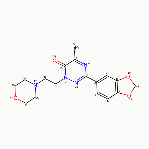 CC(C)c1nc(-c2ccc3c(c2)OCO3)nn(CCN2CCOCC2)c1=O